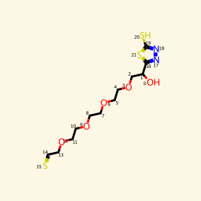 OC(COCCOCCOCCOCC=S)c1nnc(S)s1